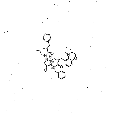 CCCN(C(=O)NCc1ccccc1)N1CC(=O)N2[C@@H](Cc3ccccc3)C(=O)N(Cc3cccc4c3N(C)CCO4)C[C@@H]21